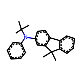 CC1(C)c2ccccc2-c2ccc(N(c3ccccc3)C(C)(C)C)cc21